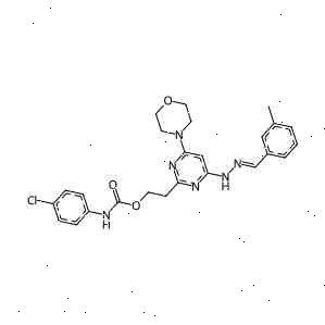 Cc1cccc(C=NNc2cc(N3CCOCC3)nc(CCOC(=O)Nc3ccc(Cl)cc3)n2)c1